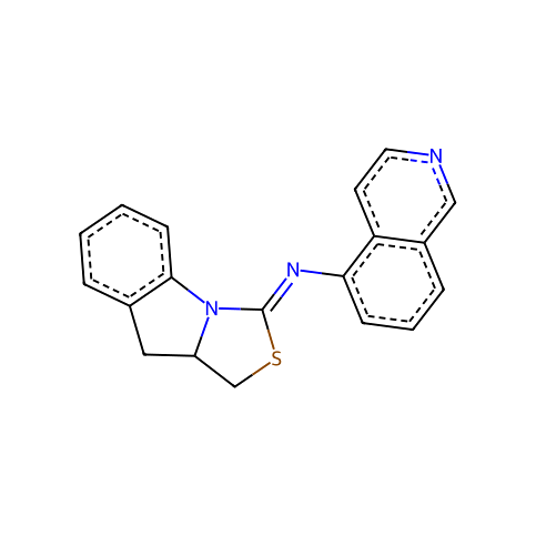 c1ccc2c(c1)CC1CSC(=Nc3cccc4cnccc34)N21